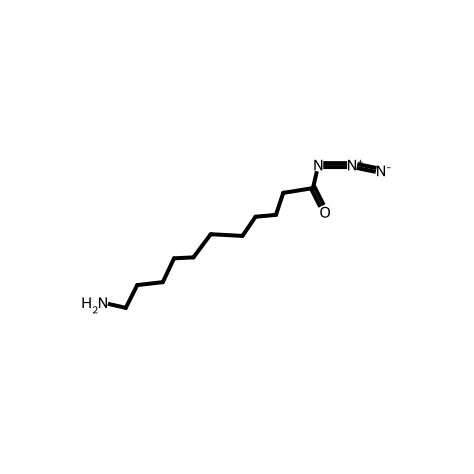 [N-]=[N+]=NC(=O)CCCCCCCCCCN